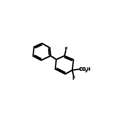 O=C(O)C1(F)C=CC(c2ccccc2)C(F)=C1